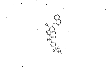 NS(=O)(=O)c1ccc(NC(=O)[C@@H]2CSc3c(C4CC4)c(Cc4cccc5ccccc45)cc(=O)n32)cc1